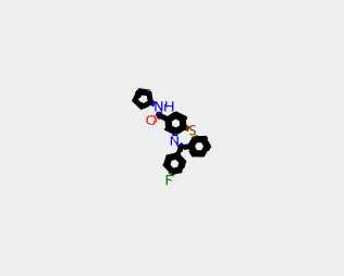 O=C(NC1CCCC1)c1ccc2c(c1)N=C(c1ccc(F)cc1)c1ccccc1S2